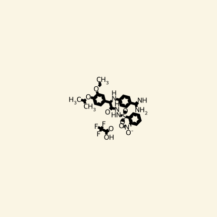 CCOc1cc(C(Nc2ccc(C(=N)N)cc2)C(=O)NNS(=O)(=O)c2ccccc2[N+](=O)[O-])ccc1OC(C)C.O=C(O)C(F)(F)F